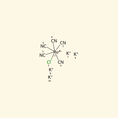 N#[C][Ru-4]([Cl])([C]#N)([C]#N)([C]#N)[C]#N.[K+].[K+].[K+].[K+]